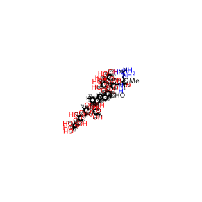 COC(=O)C(C)(CCCNC(=N)N)NC(=O)C1OC(O[C@H]2CC[C@@]3(C)C(CC[C@]4(C)C3CC=C3C5CC(C)(C)CC[C@]5(C(=O)OC5OC(C)C(O)C(O)C5OC5OC(C)C(OC6OCC(O)C(OC7OCC(O)(CO)C7O)C6O)C(C)C5O)[C@H](O)C[C@]34C)[C@]2(C)C=O)C(OC2OC(CO)C(O)C(O)C2O)C(OC2OCC(O)C(O)C2O)C1O